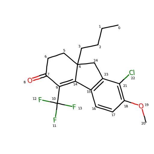 CCCCC12CCC(=O)C(C(F)(F)F)=C1c1ccc(OC)c(Cl)c1C2